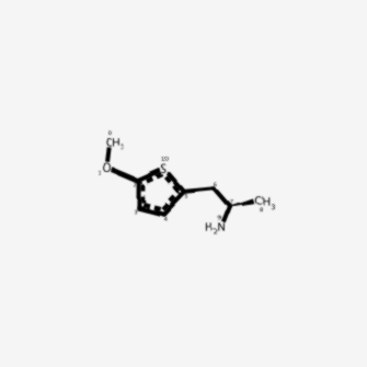 COc1ccc(C[C@@H](C)N)s1